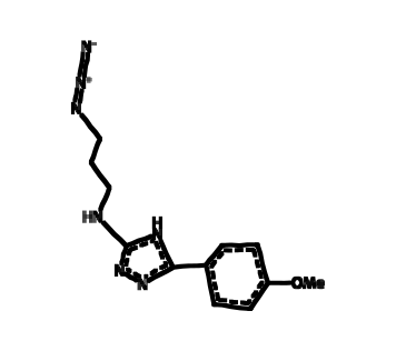 COc1ccc(-c2nnc(NCCCN=[N+]=[N-])[nH]2)cc1